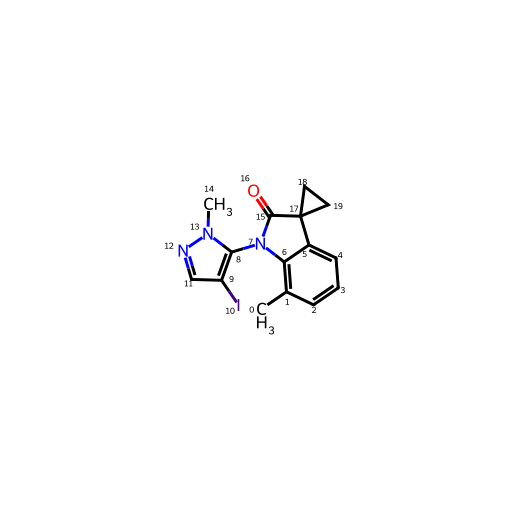 Cc1cccc2c1N(c1c(I)cnn1C)C(=O)C21CC1